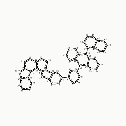 c1cc(-c2ccc3oc4c(ccc5ccc6oc7ccccc7c6c54)c3c2)cc(-c2c3ccccc3c(-c3cccc4ccccc34)c3ccccc23)c1